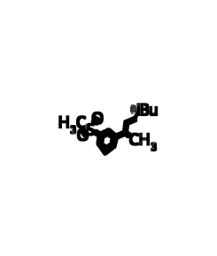 CC[C@H](C)CCC(C)c1cccc(S(C)(=O)=O)c1